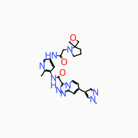 Cc1ncc(NC(=O)CN2CCCC23COC3)cc1NC(=O)c1nnc2cc(-c3cnn(C)c3)ccn12